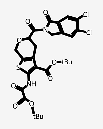 CC(C)(C)OC(=O)C(=O)Nc1sc2c(c1C(=O)OC(C)(C)C)CC(C(=O)N1Cc3cc(Cl)c(Cl)cc3C1=O)OC2